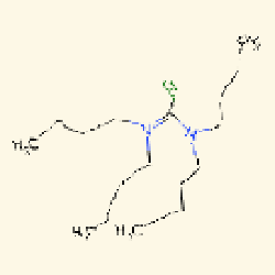 CCCCN(CCCC)C(Cl)=[N+](CCCC)CCCC